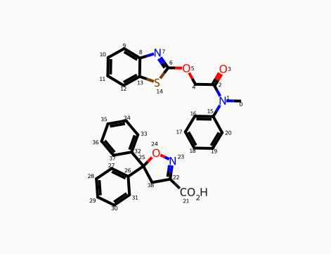 CN(C(=O)COc1nc2ccccc2s1)c1ccccc1.O=C(O)C1=NOC(c2ccccc2)(c2ccccc2)C1